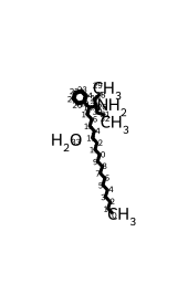 CCCCCCCCCCCCCCCCCCC(c1ccccc1)C(N)(CCC)CCC.O